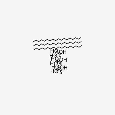 CCCCCCCCCCCCCCCCCC.CCCCCCCCCCCCCCCCCC.CCCCCCCCCCCCCCCCCC.OP(O)(O)=S.OP(O)(O)=S.OP(O)(O)=S